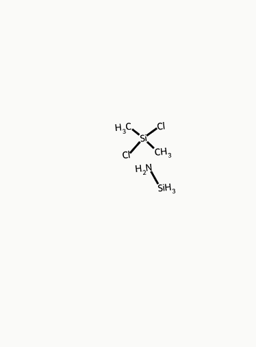 C[Si](C)(Cl)Cl.N[SiH3]